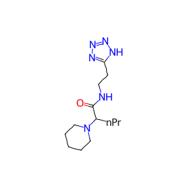 CCCC(C(=O)NCCc1nnn[nH]1)N1CCCCC1